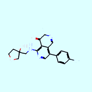 C[C@@H]1N=Cc2c(-c3ccc(C(F)(F)F)cc3)cnc(NCC3(O)CCOC3)c2C1=O